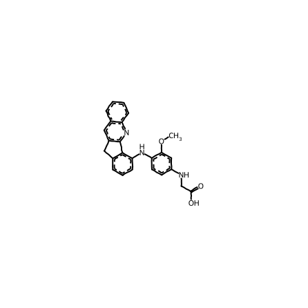 COc1cc(NCC(=O)O)ccc1Nc1cccc2c1-c1nc3ccccc3cc1C2